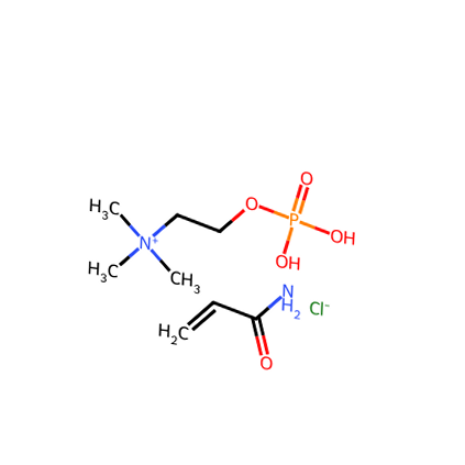 C=CC(N)=O.C[N+](C)(C)CCOP(=O)(O)O.[Cl-]